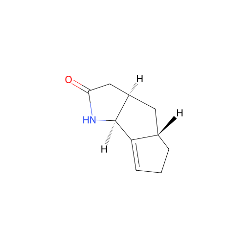 O=C1C[C@H]2C[C@@H]3CCC=C3[C@H]2N1